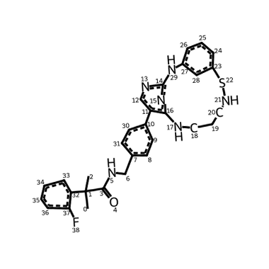 CC(C)(C(=O)NCc1ccc(-c2cnc3nc2NCCCNSc2cccc(c2)N3)cc1)c1ccccc1F